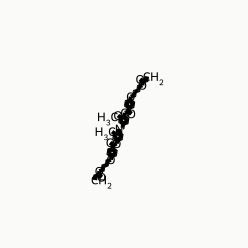 C=CC(=O)OCCCCOc1ccc(C(=O)Oc2ccc(/N=C/c3ccc(OC(=O)c4ccc(OCCCCOC(=O)C=C)cc4)c(OC)c3)c(C)c2)cc1